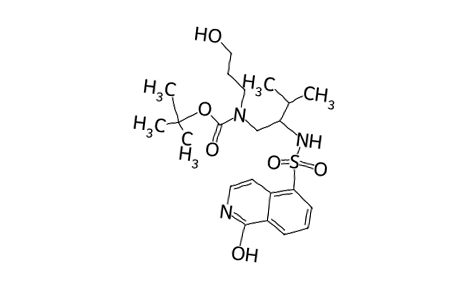 CC(C)C(CN(CCCO)C(=O)OC(C)(C)C)NS(=O)(=O)c1cccc2c(O)nccc12